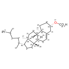 CC(C)C(C)CCC(C)[C@H]1CC[C@H]2[C@@H]3CC=C4C[C@@H](OC(=O)O)CC[C@]4(C)[C@H]3CC[C@]12C